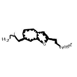 CCCCCCCCc1cc2ccc(CN)cc2o1